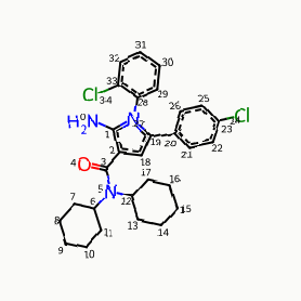 Nc1c(C(=O)N(C2CCCCC2)C2CCCCC2)cc(-c2ccc(Cl)cc2)n1-c1ccccc1Cl